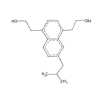 CC(C)Cc1ccc2c(CCO)ccc(CCO)c2c1